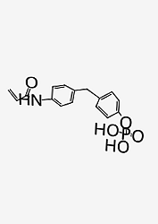 C=CC(=O)Nc1ccc(Cc2ccc(OP(=O)(O)O)cc2)cc1